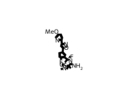 CN=[S@@]1(=O)C[C@@](CF)(c2cc(-c3cc(-c4ccc(OC)cn4)no3)ccc2F)N=C(N)C1(C)C